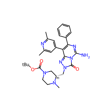 Cc1cc(-c2c(-c3ccccc3)nc(N)n3c(=O)n(C[C@H]4CN(C(=O)OC(C)(C)C)CCN4C)nc23)cc(C)n1